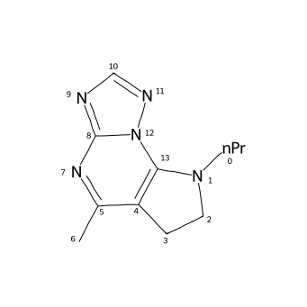 CCCN1CCc2c(C)nc3ncnn3c21